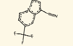 N#Cc1ccn2ccc(C(F)(F)F)cc12